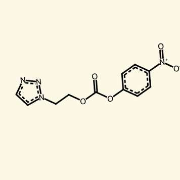 O=C(OCCn1ccnn1)Oc1ccc([N+](=O)[O-])cc1